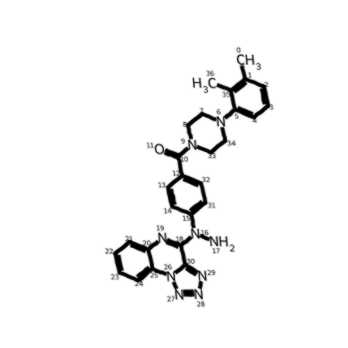 Cc1cccc(N2CCN(C(=O)c3ccc(N(N)c4nc5ccccc5n5nnnc45)cc3)CC2)c1C